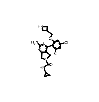 Nc1nc2c(c(-c3c(Cl)cc(Cl)cc3OCC3CNC3)n1)CN(C(=O)NC1CC1)C2